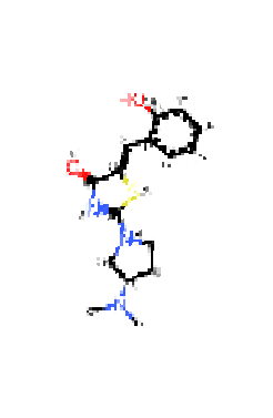 CN(C)[C@@H]1CCN(C2=NC(=O)/C(=C/c3ccccc3O)S2)C1